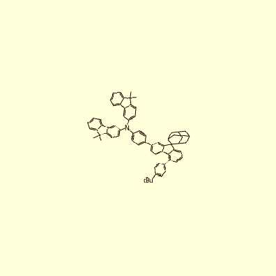 CC(C)(C)c1ccc(-c2cccc3c2-c2ccc(-c4ccc(N(c5ccc6c(c5)-c5ccccc5C6(C)C)c5ccc6c(c5)-c5ccccc5C6(C)C)cc4)cc2C32C3CC4CC(C3)CC2C4)cc1